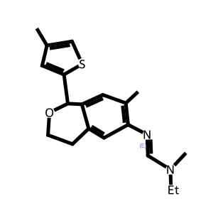 CCN(C)/C=N/c1cc2c(cc1C)C(c1cc(C)cs1)OCC2